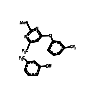 CSc1nc(Oc2cccc(C(F)(F)F)c2)cc(C(F)(F)F)n1.Oc1cccc(C(F)(F)F)c1